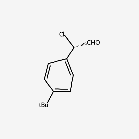 CC(C)(C)c1ccc([C@H](Cl)C=O)cc1